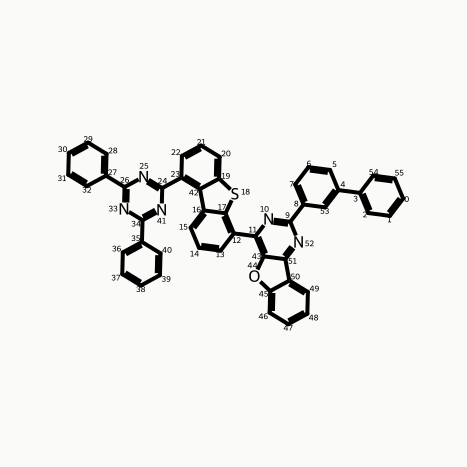 c1ccc(-c2cccc(-c3nc(-c4cccc5c4sc4cccc(-c6nc(-c7ccccc7)nc(-c7ccccc7)n6)c45)c4oc5ccccc5c4n3)c2)cc1